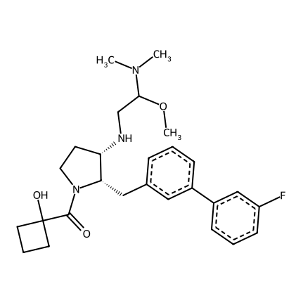 COC(CN[C@H]1CCN(C(=O)C2(O)CCC2)[C@H]1Cc1cccc(-c2cccc(F)c2)c1)N(C)C